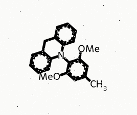 COc1cc(C)cc(OC)c1N1c2ccccc2Cc2ccccc21